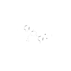 CS(=O)(=O)c1cc(F)cc(N2CN=C(c3cccc(C(F)(F)F)n3)N(CC3CC3)C2)c1